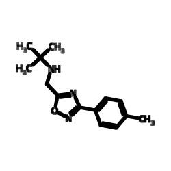 Cc1ccc(-c2noc(CNC(C)(C)C)n2)cc1